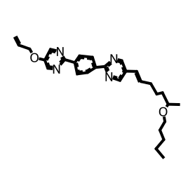 C=CCOc1cnc(-c2ccc(-c3ncc(C=CCCCC(C)OCCCCC)cn3)cc2)nc1